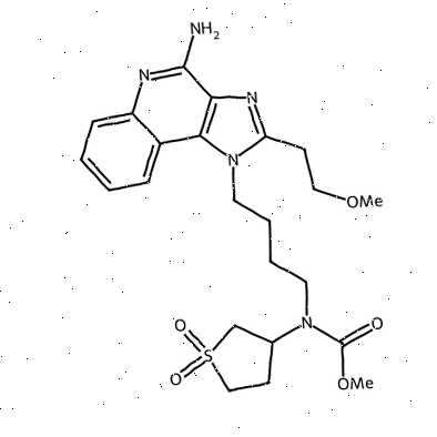 COCCc1nc2c(N)nc3ccccc3c2n1CCCCN(C(=O)OC)C1CCS(=O)(=O)C1